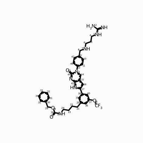 N=C(N)NCCCNCc1ccc(-n2cc3cc(-c4cc(CCCCNC(=O)OCc5ccccc5)cc(OC(F)(F)F)c4)[nH]c3nc2=O)cc1